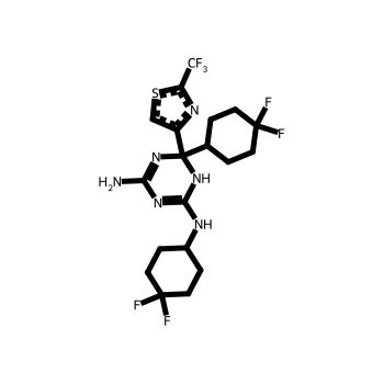 NC1=NC(c2csc(C(F)(F)F)n2)(C2CCC(F)(F)CC2)NC(NC2CCC(F)(F)CC2)=N1